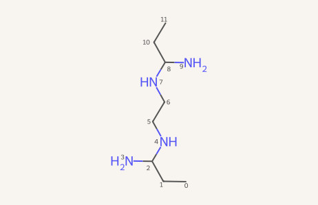 CCC(N)NCCNC(N)CC